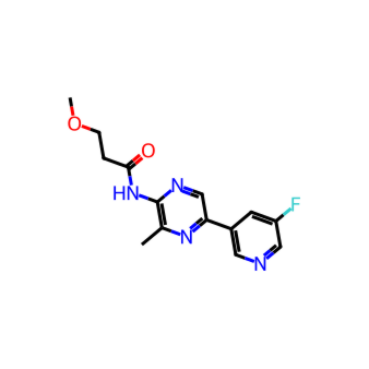 COCCC(=O)Nc1ncc(-c2cncc(F)c2)nc1C